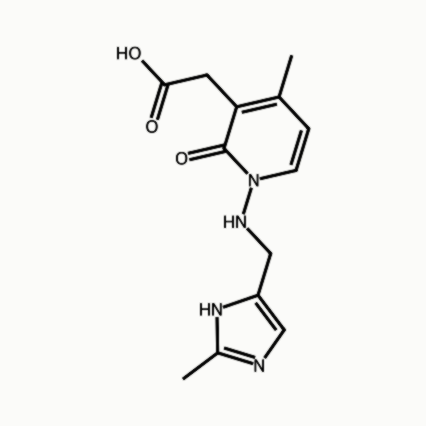 Cc1ncc(CNn2ccc(C)c(CC(=O)O)c2=O)[nH]1